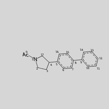 CC(=O)N1CCC(c2ccc(-c3ccccc3)cc2)C1